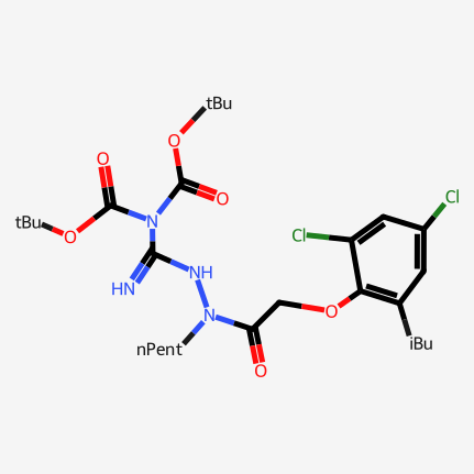 CCCCCN(NC(=N)N(C(=O)OC(C)(C)C)C(=O)OC(C)(C)C)C(=O)COc1c(Cl)cc(Cl)cc1C(C)CC